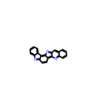 c1ccc2c(c1)N=c1ccc3c(c1-2)N=c1cc2ccccc2nc1=3